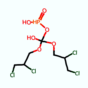 O=[PH](O)OC(O)(OCC(Cl)CCl)OCC(Cl)CCl